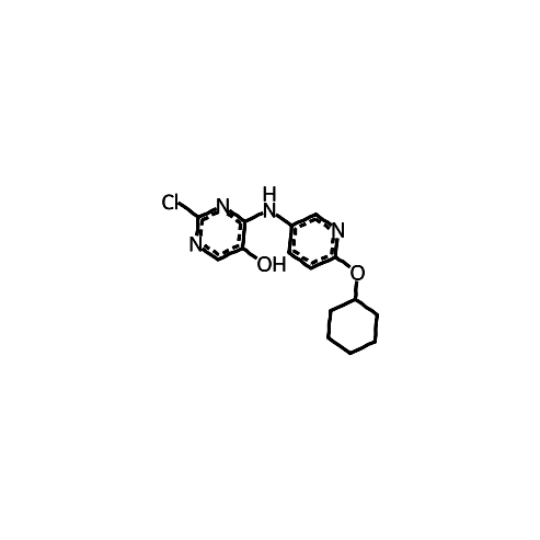 Oc1cnc(Cl)nc1Nc1ccc(OC2CCCCC2)nc1